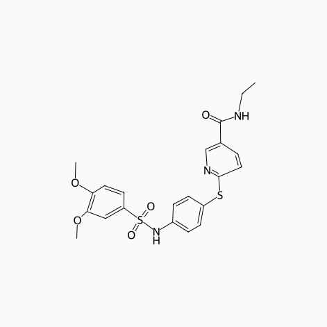 CCNC(=O)c1ccc(Sc2ccc(NS(=O)(=O)c3ccc(OC)c(OC)c3)cc2)nc1